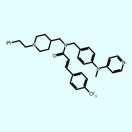 CC(C)CCN1CCC(CN(Cc2ccc(N(C)c3ccncc3)cc2)C(=O)/C=C/c2ccc(C(F)(F)F)cc2)CC1